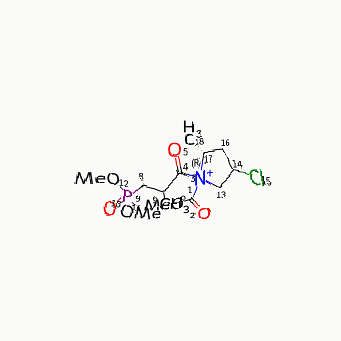 COC(=O)[N+]1(C(=O)C(C)CP(=O)(OC)OC)CC(Cl)C[C@H]1C